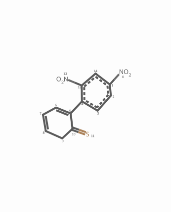 O=[N+]([O-])c1ccc(C2=CC=CCC2=S)c([N+](=O)[O-])c1